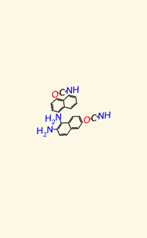 N=C=O.N=C=O.Nc1ccc2ccccc2c1N.c1ccc2ccccc2c1